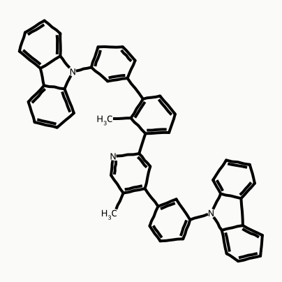 Cc1cnc(-c2cccc(-c3cccc(-n4c5ccccc5c5ccccc54)c3)c2C)cc1-c1cccc(-n2c3ccccc3c3ccccc32)c1